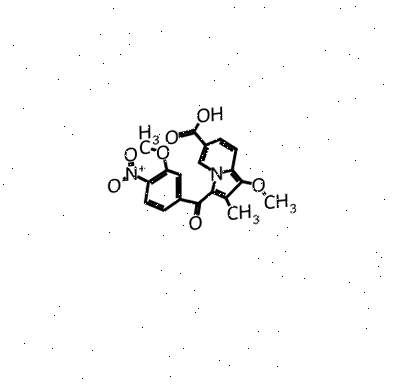 COc1cc(C(=O)c2c(C)c(OC)c3ccc(C(=O)O)cn23)ccc1[N+](=O)[O-]